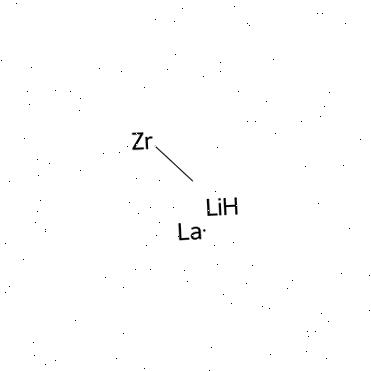 [CH3][Zr].[La].[LiH]